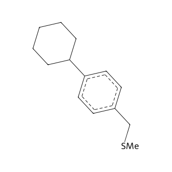 CSCc1ccc(C2CCCCC2)cc1